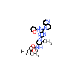 C[C@@H]1C[C@@H](NC(=O)OC(C)(C)C)CCN1c1cnc2c(N3CCCc4ncccc43)nn(C3CCCCO3)c2n1